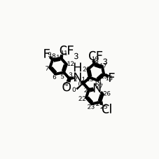 C[C@@](NC(=O)c1ccc(F)c(C(F)(F)F)c1)(c1cc(F)cc(C(F)(F)F)c1)c1ccc(Cl)cn1